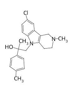 Cc1ccc(C(C)(O)Cn2c3c(c4cc(Cl)ccc42)CN(C)CC3)cc1